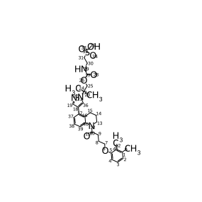 Cc1cccc(OCCCC(=O)N2CCCc3c(-c4cnn(C(C)(C)COC(=O)NCCS(=O)(=O)O)c4)cccc32)c1C